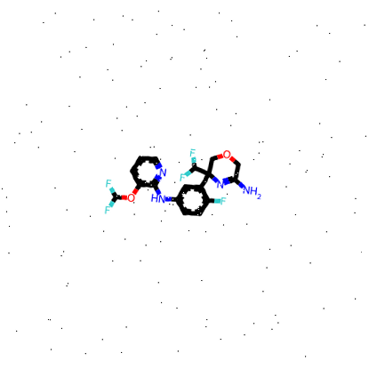 NC1=NC(c2cc(Nc3ncccc3OC(F)F)ccc2F)(C(F)F)COC1